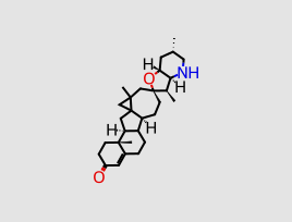 C[C@@H]1CN[C@H]2[C@@H](C)[C@@]3(CC[C@H]4C5CCC6=CC(=O)CC[C@]6(C)[C@H]5CC45CC5(C)C3)O[C@@H]2C1